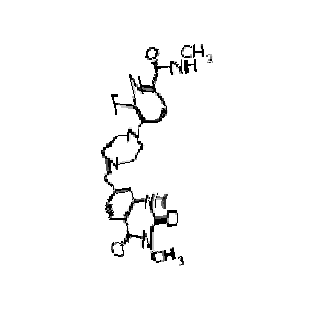 CNC(=O)c1ccc(N2CCN(Cc3ccc4c(=O)n(C)c(=O)[nH]c4c3)CC2)c(F)n1